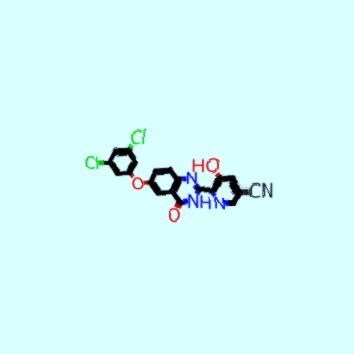 N#Cc1cnc(-c2nc3ccc(Oc4cc(Cl)cc(Cl)c4)cc3c(=O)[nH]2)c(O)c1